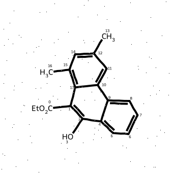 CCOC(=O)c1c(O)c2ccccc2c2cc(C)cc(C)c12